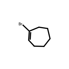 BrC1=C[CH]CCCC1